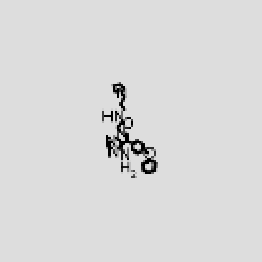 Nc1ncnc2c1c(-c1ccc(Oc3ccccc3)cc1)cn2CC(=O)NCCCN1CCCC1